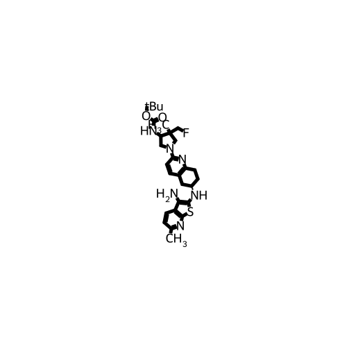 Cc1ccc2c(N)c(N[C@H]3CCc4nc(N5CC(NC(=O)OC(C)(C)C)C(C)(CF)C5)ccc4C3)sc2n1